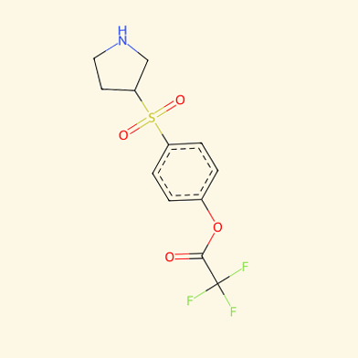 O=C(Oc1ccc(S(=O)(=O)C2CCNC2)cc1)C(F)(F)F